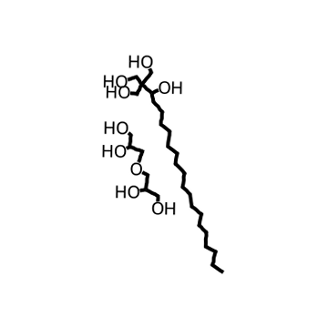 CCCCCCCCCCCCCCCCCCC(O)C(CO)(CO)CO.OCC(O)COCC(O)CO